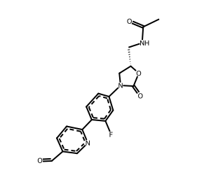 CC(=O)NC[C@H]1CN(c2ccc(-c3ccc(C=O)cn3)c(F)c2)C(=O)O1